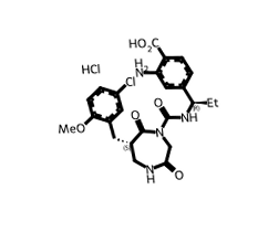 CC[C@@H](NC(=O)N1CC(=O)NC[C@H](Cc2cc(Cl)ccc2OC)C1=O)c1ccc(C(=O)O)c(N)c1.Cl